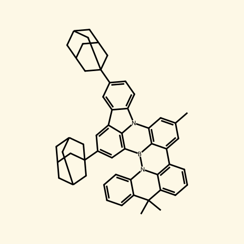 Cc1cc2c3c(c1)-n1c4ccc(C56CC7CC(CC(C7)C5)C6)cc4c4cc(C56CC7CC(CC(C7)C5)C6)cc(c41)B3N1c3ccccc3C(C)(C)c3cccc-2c31